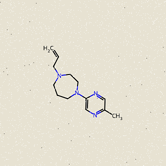 C=CCN1CCCN(c2cnc(C)cn2)CC1